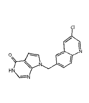 O=c1[nH]cnc2c1ccn2Cc1ccc2ncc(Cl)cc2c1